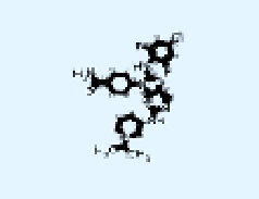 CC(C)N1CCC[C@@H](Nc2ncc3nc(Nc4c(F)cc(Cl)cc4F)n(C4CCC(C(N)=O)CC4)c3n2)C1